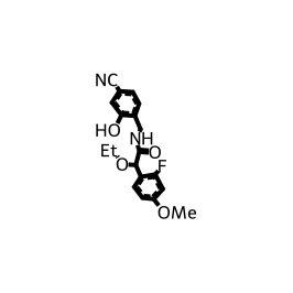 CCOC(C(=O)NCc1ccc(C#N)cc1O)c1ccc(OC)cc1F